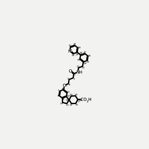 O=C(CCCOc1ccc2c(c1)C1(CC2)CCC(C(=O)O)CC1)NCCc1cccc(-c2cccnc2)c1